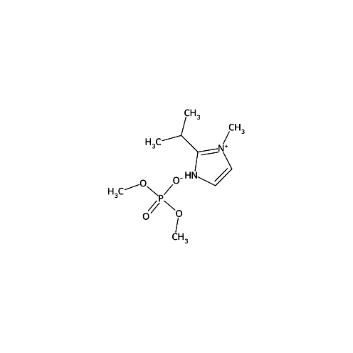 CC(C)c1[nH]cc[n+]1C.COP(=O)([O-])OC